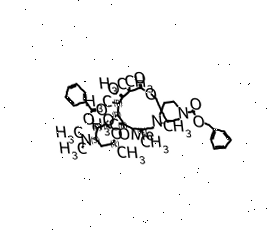 CO[C@]1(C)C[C@@H](C)CN(C)C2(CCN(C(=O)OCc3ccccc3)CC2)COC(=O)C(C)(C)C(=O)[C@H](C)[C@H]1O[C@@H]1O[C@H](C)C[C@H](N(C)C)[C@H]1OC(=O)c1ccccc1